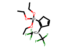 CC[O][Zr]([O]CC)([O]CC)[C]1=[C]([GeH]([C](F)(F)F)[C](F)(F)F)C=CC1